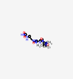 CC(C)c1cc(N2CCOc3cc(-c4ccc(C(=O)NCC#Cc5cccc(NC6CCC(=O)NC6=O)c5)nc4)ncc32)cc2c1n(C)c(=O)n2C